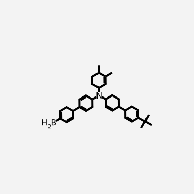 BC1=CCC(C2=CCC(N(C3C=C(C)C(C)CC3)C3C=CC(C4C=CC(C(C)(C)C)=CC4)CC3)C=C2)C=C1